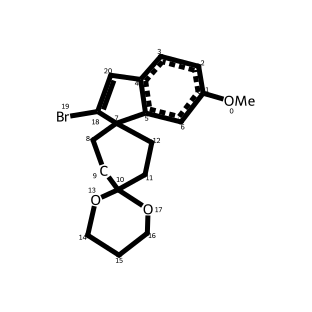 COc1ccc2c(c1)C1(CCC3(CC1)OCCCO3)C(Br)=C2